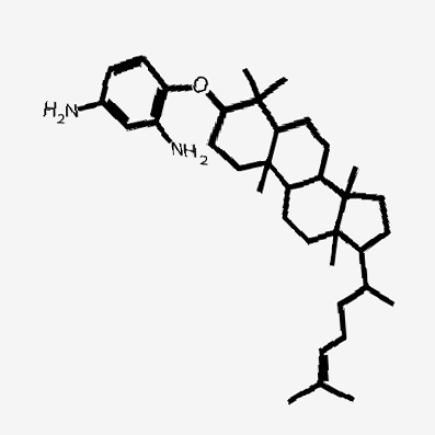 CC(C)=CCCC(C)C1CCC2(C)C3CCC4C(C)(C)C(Oc5ccc(N)cc5N)CCC4(C)C3CCC12C